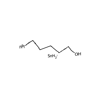 CCCCCCCCO.[SnH2]